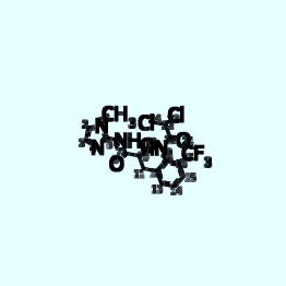 Cn1ccnc1NC(=O)C(=O)Cc1cccc(C(F)(F)F)c1NC(=O)C(Cl)Cl